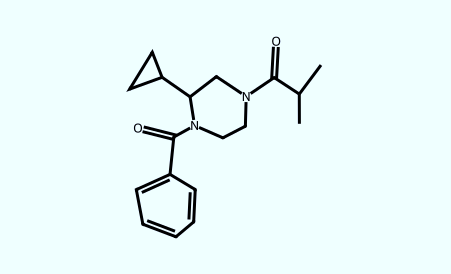 CC(C)C(=O)N1CCN(C(=O)c2ccccc2)C(C2CC2)C1